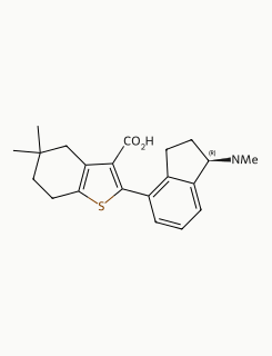 CN[C@@H]1CCc2c(-c3sc4c(c3C(=O)O)CC(C)(C)CC4)cccc21